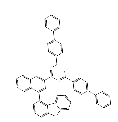 N/C(=N\C(=N/Cc1ccc(-c2ccccc2)cc1)c1cc(-c2cccc3oc4ccccc4c23)c2ccccc2c1)c1ccc(-c2ccccc2)cc1